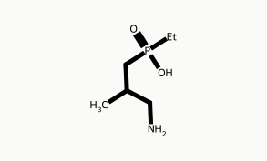 CCP(=O)(O)CC(C)CN